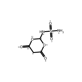 NS(=O)(=O)NC1OC(=O)CC(=O)O1